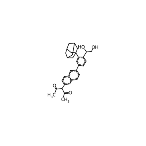 CC(=O)C(C(C)=O)c1ccc2cc(-c3ccc(C(O)CO)c(C45CC6CC(CC(C6)C4)C5)c3)ccc2c1